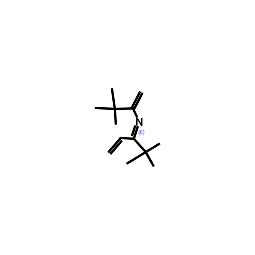 C=C/C(=N\C(=C)C(C)(C)C)C(C)(C)C